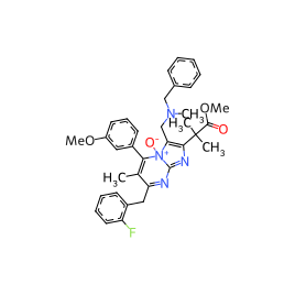 COC(=O)C(C)(C)C1=C(CN(C)Cc2ccccc2)[N+]2([O-])C(=N1)N=C(Cc1ccccc1F)C(C)=C2c1cccc(OC)c1